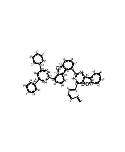 C=C/C=C\C=C\c1nc(-c2cccc3oc4c(-c5nc(-c6ccccc6)cc(-c6ccccc6)n5)cccc4c23)nc2c1oc1ccccc12